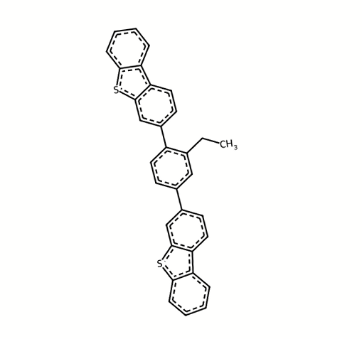 CCc1cc(-c2ccc3c(c2)sc2ccccc23)ccc1-c1ccc2c(c1)sc1ccccc12